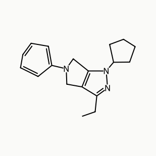 CCc1nn(C2CCCC2)c2c1CN(c1ccccc1)C2